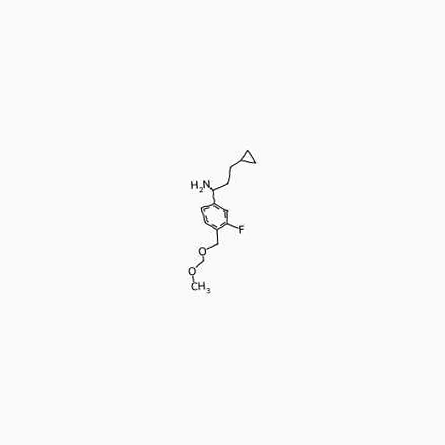 COCOCc1ccc([C@@H](N)CCC2CC2)cc1F